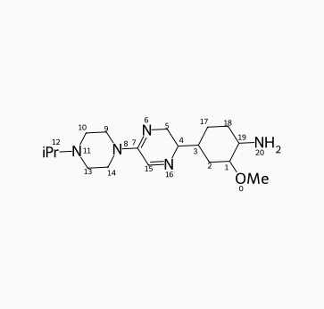 COC1CC(C2CN=C(N3CCN(C(C)C)CC3)C=N2)CCC1N